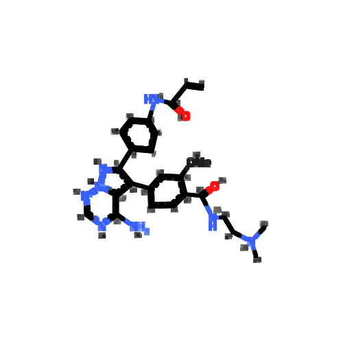 C=CC(=O)Nc1ccc(-c2nn3ncnc(N)c3c2-c2ccc(C(=O)NCCN(C)C)c(OC)c2)cc1